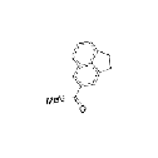 CNC(=O)c1cc2c3c(cccc3c1)CC2